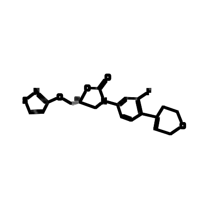 O=C1O[C@@H](COc2ccsn2)CN1c1ccc(C2=CCOCC2)c(F)c1